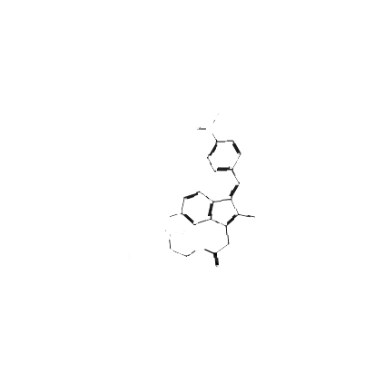 CCOC(=O)[C@@H](CSC(=O)CC1=C(C)/C(=C/c2ccc([S+](C)[O-])cc2)c2ccc(F)cc21)NC(C)=O